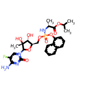 CC(C)OC(=O)[C@@H](C)N[P@@](=O)(OC[C@H]1OC(n2cc(F)c(N)nc2=O)[C@](C)(O)[C@@H]1O)Oc1cccc2ccccc12